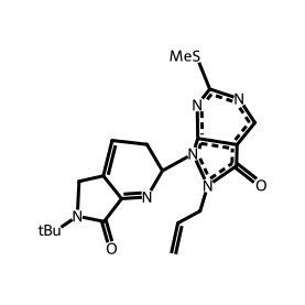 C=CCn1c(=O)c2cnc(SC)nc2n1C1CC=C2CN(C(C)(C)C)C(=O)C2=N1